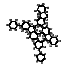 c1ccc(-c2cccc(-n3c4ccccc4c4cccc(-c5cccc6c7cc(-c8ccccc8)ccc7n(-c7ccc8sc9ccccc9c8c7)c56)c43)c2)cc1